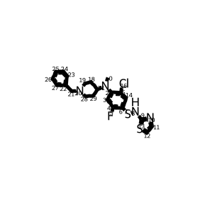 CN(c1cc(F)c(SNc2nccs2)cc1Cl)C1CCN(Cc2ccccc2)CC1